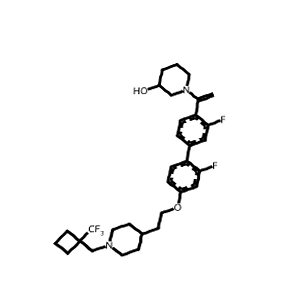 C=C(c1ccc(-c2ccc(OCCC3CCN(CC4(C(F)(F)F)CCC4)CC3)cc2F)cc1F)N1CCCC(O)C1